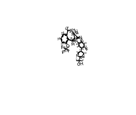 CC(C)(O)c1ncc(-c2cc3c(cc2F)nc2n3[C@@H]3C[C@H]2NC(=O)c2cccc(OC(F)(F)F)c23)cn1